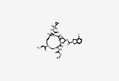 C=CC(=O)N1C/C=C\[C@@H]2C[C@@]2(C(=O)NS(=O)(=O)C2CC2)NC(=O)[C@@H]2C[C@@H](OC(=O)N3Cc4cccc(F)c4C3)CN2C(=O)[C@@H](NC(=O)OC(C)(C)C)CCC1